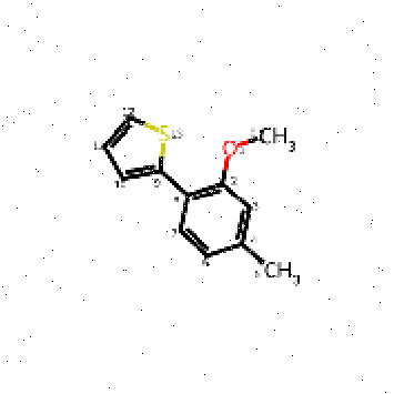 COc1cc(C)ccc1-c1cc[c]s1